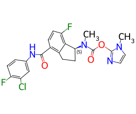 CN(C(=O)Oc1nccn1C)[C@H]1CCc2c(C(=O)Nc3ccc(F)c(Cl)c3)ccc(F)c21